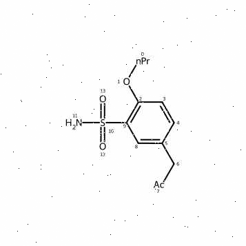 CCCOc1ccc(CC(C)=O)cc1S(N)(=O)=O